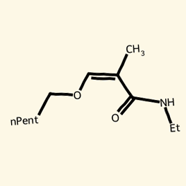 CCCCCCOC=C(C)C(=O)NCC